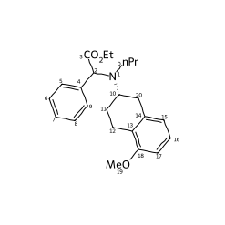 CCCN(C(C(=O)OCC)c1ccccc1)[C@H]1CCc2c(cccc2OC)C1